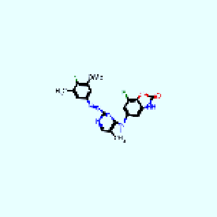 COc1cc(/N=N/c2ncc(C)c(Nc3cc(F)c4oc(=O)[nH]c4c3)n2)cc(C)c1F